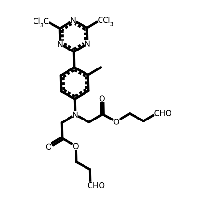 Cc1cc(N(CC(=O)OCCC=O)CC(=O)OCCC=O)ccc1-c1nc(C(Cl)(Cl)Cl)nc(C(Cl)(Cl)Cl)n1